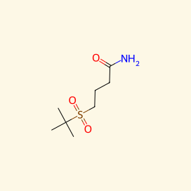 CC(C)(C)S(=O)(=O)CCCC(N)=O